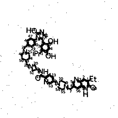 CCc1cc2ncc(CN3CCN(c4ccc(C(=O)NC5CN(CC6CCN(Cc7ccc(-n8c(O)nnc8-c8cc(C(C)C)c(O)cc8O)cc7)CC6)C5)nc4)CC3)cc2[nH]c1=O